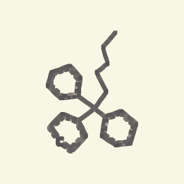 CCCCCC(c1ccccc1)(c1ccccc1)c1ccccc1